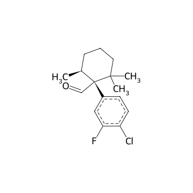 C[C@H]1CCCC(C)(C)[C@@]1(C=O)c1ccc(Cl)c(F)c1